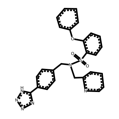 O=S(=O)(c1ccccc1Oc1ccccc1)N(Cc1ccc(-c2nnn[nH]2)cc1)Cc1ccccn1